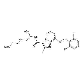 CCCC[C@H](CNCCOC)NC(=O)c1c(C)nc2c(OCc3c(F)cccc3F)cccn12